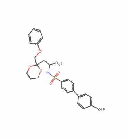 CCOC(=O)C(CC1(COc2ccccc2)OCCCO1)NS(=O)(=O)c1ccc(-c2ccc(OC)cc2)cc1